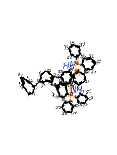 c1ccc(-c2ccc(-c3cc(N[PH](c4ccccc4)(c4ccccc4)c4ccccc4)cc(N[PH](c4ccccc4)(c4ccccc4)c4ccccc4)c3)cc2)cc1